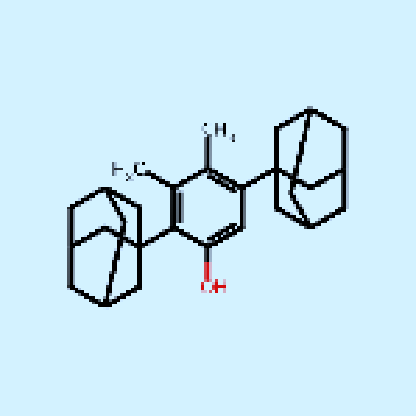 Cc1c(C23CC4CC(CC(C4)C2)C3)cc(O)c(C23CC4CC(CC(C4)C2)C3)c1C